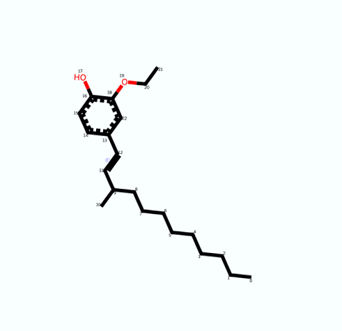 CCCCCCCCCC(C)/C=C/c1ccc(O)c(OCC)c1